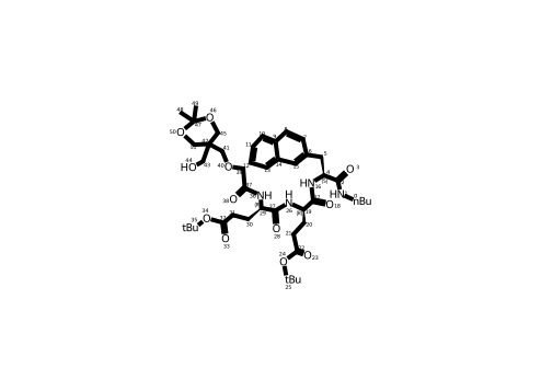 CCCCNC(=O)[C@H](Cc1ccc2ccccc2c1)NC(=O)[C@@H](CCC(=O)OC(C)(C)C)NC(=O)[C@@H](CCC(=O)OC(C)(C)C)NC(=O)COCC1(CO)COC(C)(C)OC1